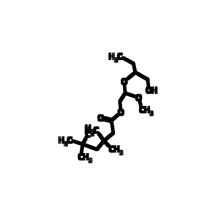 CCC(CO)OC(COC(=O)CC(C)(C)CC(C)(C)C)OC